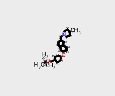 CC1CCN(Cc2ccc3cc(OC4CCC(COC(C)(C)C)CC4)ccc3c2)CC1